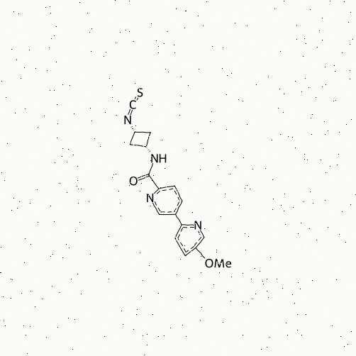 COc1ccc(-c2ccc(C(=O)N[C@H]3C[C@@H](N=C=S)C3)nc2)nc1